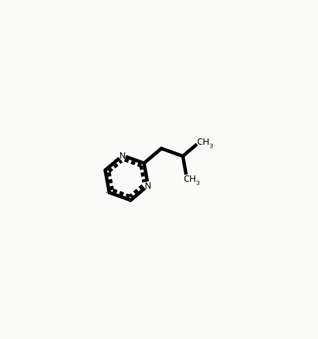 CC(C)Cc1nc[c]cn1